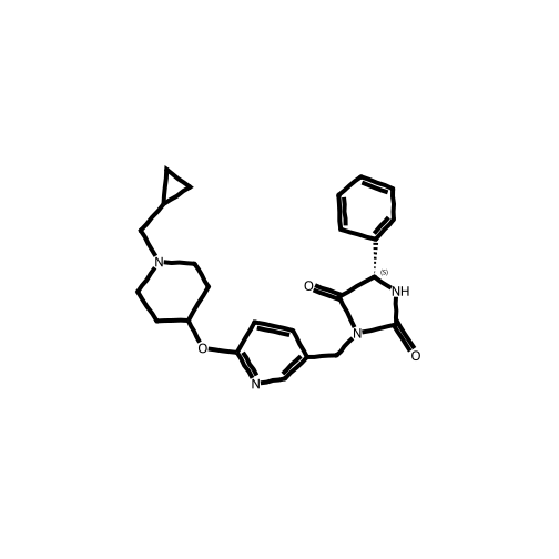 O=C1N[C@@H](c2ccccc2)C(=O)N1Cc1ccc(OC2CCN(CC3CC3)CC2)nc1